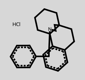 Cl.c1ccc(CN2CCC34CCCCC23c2ccccc2CC4)cc1